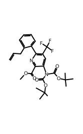 C=CCc1ccccc1-c1nc(C(=O)OC)c(N(C(=O)OC(C)(C)C)C(=O)OC(C)(C)C)cc1C(F)(F)F